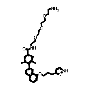 Cc1cc(C(=O)NCCOCCOCCOCCN)cc(C)c1-c1ccc2cccc(OCCCc3cc[nH]n3)c2c1